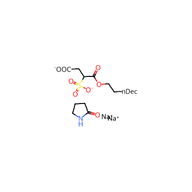 CCCCCCCCCCCCOC(=O)C(CC(=O)[O-])S(=O)(=O)[O-].O=C1CCCN1.[Na+].[Na+]